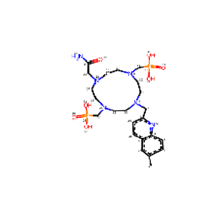 Cc1ccc2nc(CN3CCN(CP(=O)(O)O)CCN(CC(N)=O)CCN(CP(=O)(O)O)CC3)ccc2c1